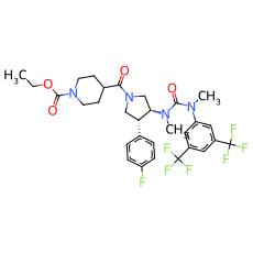 CCOC(=O)N1CCC(C(=O)N2C[C@@H](N(C)C(=O)N(C)c3cc(C(F)(F)F)cc(C(F)(F)F)c3)[C@H](c3ccc(F)cc3)C2)CC1